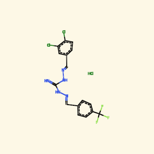 Cl.N=C(NN=Cc1ccc(C(F)(F)F)cc1)NN=Cc1ccc(Cl)c(Cl)c1